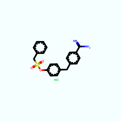 Cl.N=C(N)c1ccc(Cc2ccc(OS(=O)(=O)Cc3ccccc3)cc2)cc1